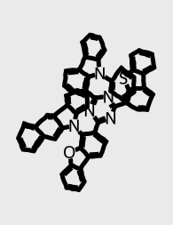 c1ccc(-n2c3ccccc3c3cccc(-c4nc(-c5ccc6c(oc7ccccc76)c5-n5c6ccccc6c6cc7ccccc7cc65)nc(-c5cccc6c5sc5ccccc56)n4)c32)cc1